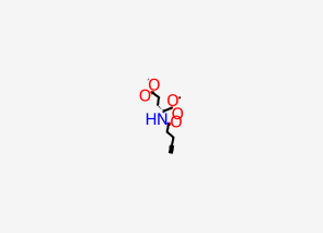 C#CCCC(=O)N[C@H](CCC(=O)OC)C(=O)OC